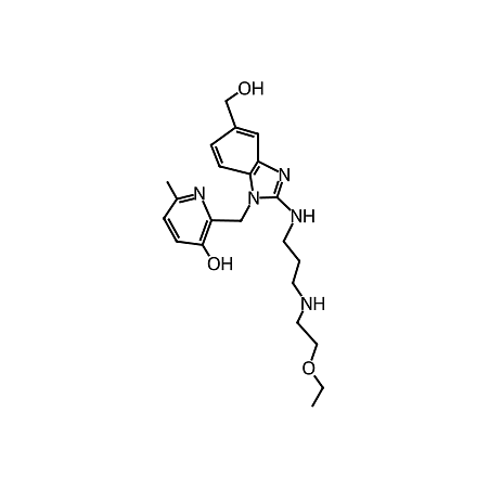 CCOCCNCCCNc1nc2cc(CO)ccc2n1Cc1nc(C)ccc1O